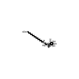 CCCCCCCCCCCCCCCCCCCCCCCCCCC(=O)OCC(O)COP(=O)(O)OC1C(O)C(O)C(O)C(O)C1O